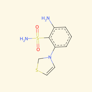 Nc1cccc(N2C=CSC2)c1S(N)(=O)=O